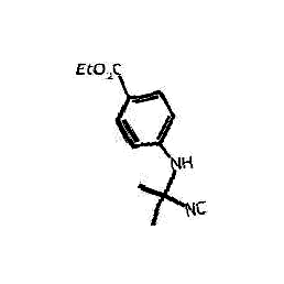 [C-]#[N+]C(C)(C)Nc1ccc(C(=O)OCC)cc1